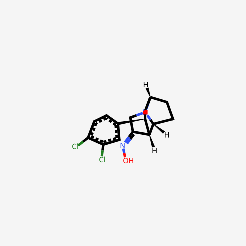 ON=C1CN2[C@H]3CC[C@@H]2[C@H]1[C@@H](c1ccc(Cl)c(Cl)c1)C3